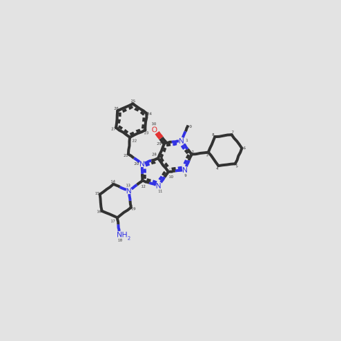 Cn1c(C2CCCCC2)nc2nc(N3CCCC(N)C3)n(Cc3ccccc3)c2c1=O